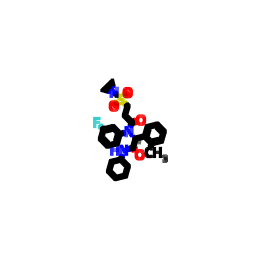 Cc1ccccc1[C@H](C(=O)NC1CCCCC1)N(C(=O)CCS(=O)(=O)N1CC1)c1cccc(F)c1